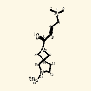 CN(C)CC=CC(=O)N1CC2(CCN(C(C)(C)C)C2)C1